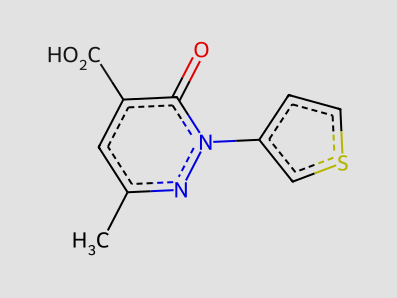 Cc1cc(C(=O)O)c(=O)n(-c2ccsc2)n1